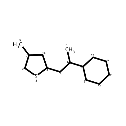 CC1CSC(CC(C)C2CCCCC2)C1